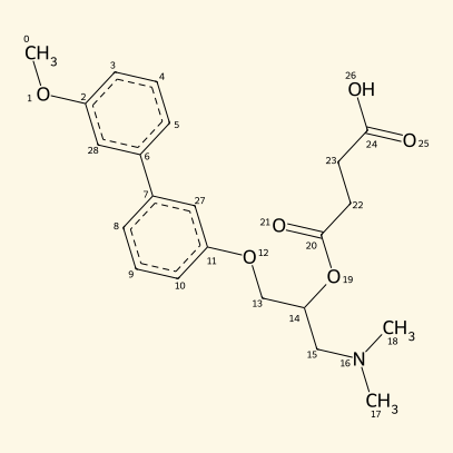 COc1cccc(-c2cccc(OCC(CN(C)C)OC(=O)CCC(=O)O)c2)c1